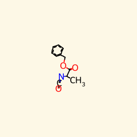 CC(N=C=O)C(=O)OCc1ccccc1